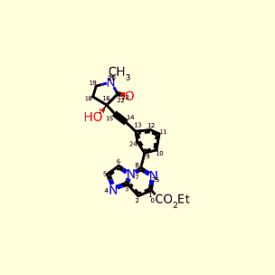 CCOC(=O)c1cc2nccn2c(-c2cccc(C#C[C@]3(O)CCN(C)C3=O)c2)n1